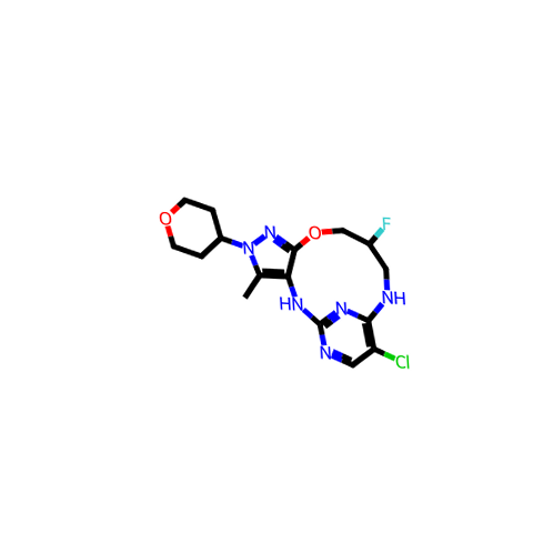 Cc1c2c(nn1C1CCOCC1)OCC(F)CNc1nc(ncc1Cl)N2